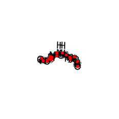 O=C(Nc1ccc(-c2cn3c(n2)sc2cc(OCCN4CCOCC4)ccc23)cc1)Nc1ccc(-c2cn3c(n2)sc2cc(OCCN4CCOCC4)ccc23)cc1